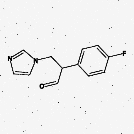 O=CC(Cn1ccnc1)c1ccc(F)cc1